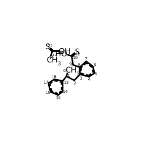 CC(Cc1ccccc1CC(O)=S)c1ccccc1.CC(O)=S